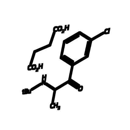 CC(NC(C)(C)C)C(=O)c1cccc(Cl)c1.O=C(O)CCC(=O)O